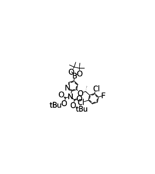 C[C@@H](Oc1cc(B2OC(C)(C)C(C)(C)O2)cnc1N(C(=O)OC(C)(C)C)C(=O)OC(C)(C)C)c1c(Cl)ccc(F)c1Cl